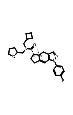 C[C@]12Cc3cnn(-c4ccc(F)cc4)c3C=C1CC[C@@H]2C(=O)N(CC1CCC1)CC1CCCO1